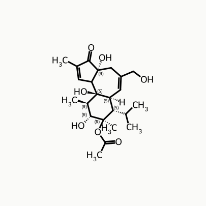 CC(=O)O[C@@]1(C)[C@H](O)[C@@H](C)[C@]2(O)C3C=C(C)C(=O)[C@@]3(O)CC(CO)=C[C@H]2[C@@H]1C(C)C